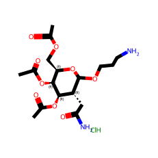 CC(=O)OC[C@H]1OC(OCCCN)[C@H](CC(N)=O)[C@@H](OC(C)=O)[C@H]1OC(C)=O.Cl